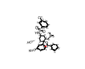 COc1cccc(C2(OC(=O)c3ccccc3)CCC(NS(=O)(=O)c3cccc(Cl)c3)CC2CN(C)C)c1.Cl